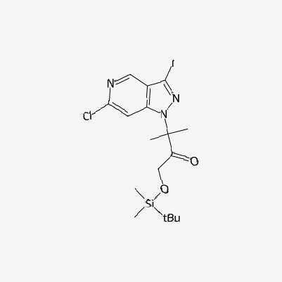 CC(C)(C(=O)CO[Si](C)(C)C(C)(C)C)n1nc(I)c2cnc(Cl)cc21